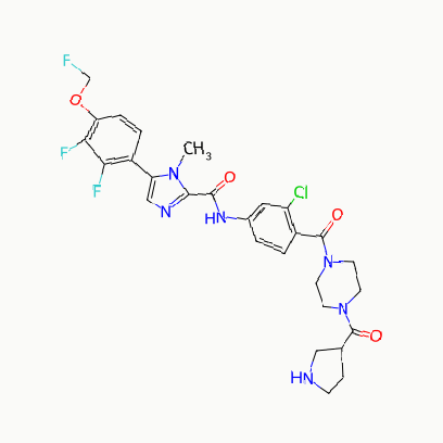 Cn1c(-c2ccc(OCF)c(F)c2F)cnc1C(=O)Nc1ccc(C(=O)N2CCN(C(=O)C3CCNC3)CC2)c(Cl)c1